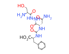 NC(=O)C[C@H](NC(=O)N[C@@H](Cc1ccccc1)C(=O)O)C(=O)NNC(=O)[C@@H](N)CO